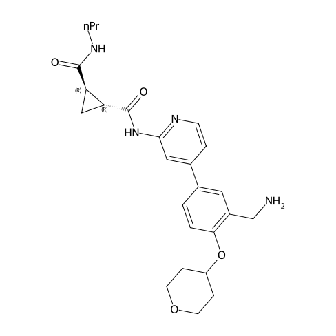 CCCNC(=O)[C@@H]1C[C@H]1C(=O)Nc1cc(-c2ccc(OC3CCOCC3)c(CN)c2)ccn1